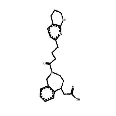 O=C(O)CC1CCN(C(=O)CCCc2ccc3c(n2)NCCC3)Cc2ccccc21